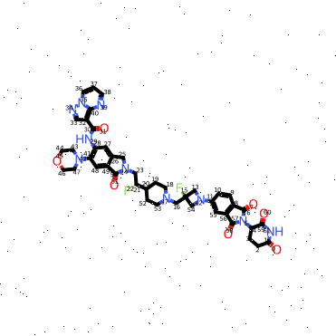 O=C1CCC(N2C(=O)c3ccc(N4CC(F)(CN5CCC([C@H](F)CN6Cc7cc(NC(=O)c8cnn9cccnc89)c(N8CCOCC8)cc7C6=O)CC5)C4)cc3C2=O)C(=O)N1